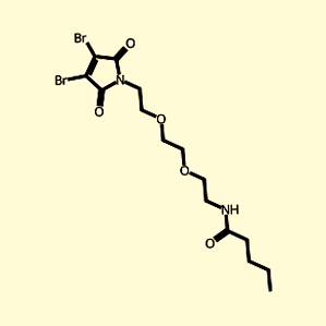 CCCCC(=O)NCCOCCOCCN1C(=O)C(Br)=C(Br)C1=O